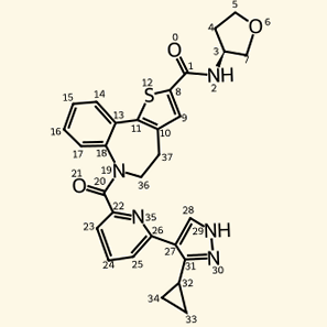 O=C(N[C@H]1CCOC1)c1cc2c(s1)-c1ccccc1N(C(=O)c1cccc(-c3c[nH]nc3C3CC3)n1)CC2